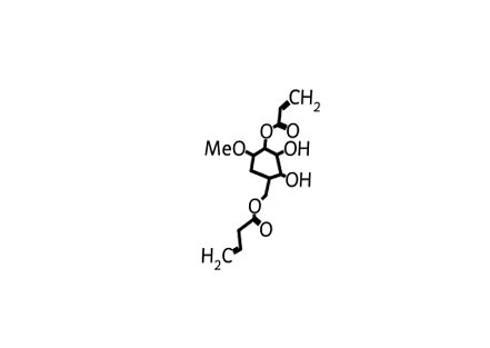 C=CCC(=O)OCC1CC(OC)C(OC(=O)C=C)C(O)C1O